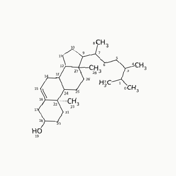 CC(C)C(C)CCC(C)C1CCC2C3CC=C4CC(O)CC[C@]4(C)C3CCC12C